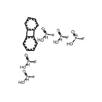 O=[PH](O)F.O=[PH](O)F.O=[PH](O)F.O=[PH](O)F.O=[PH](O)F.c1ccc2c(c1)-c1ccccc1-2